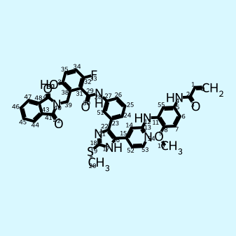 C=CC(=O)Nc1ccc(OC)c(Nc2cc(-c3[nH]c(SC)nc3-c3cccc(NC(=O)c4c(F)ccc(O)c4CN4C(=O)c5ccccc5C4=O)c3)ccn2)c1